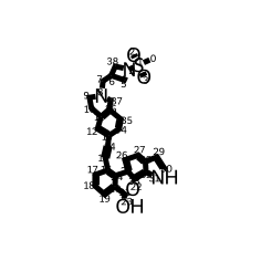 CS(=O)(=O)N1CC(CN2CCc3cc(C#Cc4cccc(C(=O)O)c4-c4ccc5cc[nH]c5c4)ccc3C2)C1